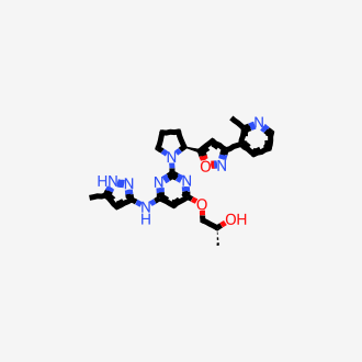 Cc1cc(Nc2cc(OC[C@@H](C)O)nc(N3CCC[C@H]3c3cc(-c4cccnc4C)no3)n2)n[nH]1